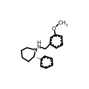 COc1cccc(CNN2CCCC[C@H]2c2ccccc2)c1